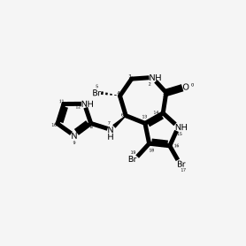 O=C1NC[C@@H](Br)[C@H](Nc2ncc[nH]2)c2c1[nH]c(Br)c2Br